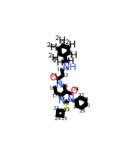 [2H]c1c([2H])c([2H])c(C([2H])([2H])NCCC(=O)N2CCc3nc(SC4CCC4)n(-c4ccccc4)c(=O)c3C2)c([2H])c1[2H]